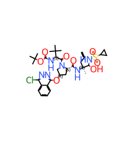 C=CC[C@](C)(NC(=O)[C@@H]1C[C@@H](Oc2nnc(Cl)c3ccccc23)CN1C(=O)[C@@H](NC(=O)OC(C)(C)C)C(C)(C)C)C(O)NS(=O)(=O)C1CC1